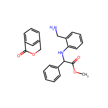 COC(=O)C(Nc1ccccc1CN)c1ccccc1.O=C1OCc2cccc1c2